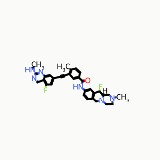 CNc1ncc2c(F)cc(C#Cc3cc(C(=O)Nc4ccc5c(c4)C(F)[C@H]4CN(C)CCN4C5)ccc3C)cc2n1